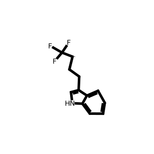 FC(F)(F)[CH]CCc1c[nH]c2ccccc12